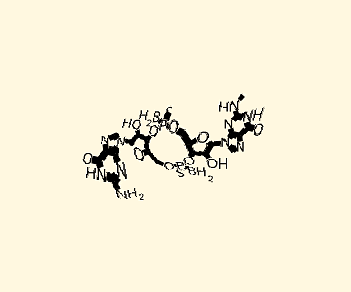 BP1(=S)OCC2OC(n3cnc4c(=O)[nH]c(NC)nc43)C(O)C2OP(B)(=S)OCC2OC(n3cnc4c(=O)[nH]c(N)nc43)C(O)C2O1